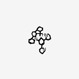 CC1(C)C2CCCCC2C2CCC3C4=CC=CCC4N(C4CC(C5CCCC=N5)=CC(C5CCCCN5)C4)C3C21